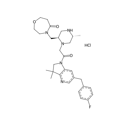 C[C@@H]1CN(CC(=O)N2CC(C)(C)c3ncc(Cc4ccc(F)cc4)cc32)[C@@H](CN2CCOCCC2=O)CN1.Cl